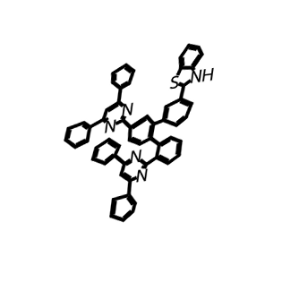 c1ccc(-c2cc(-c3ccccc3)nc(-c3ccc(-c4ccccc4-c4nc(-c5ccccc5)cc(-c5ccccc5)n4)c(-c4cccc(C5Nc6ccccc6S5)c4)c3)n2)cc1